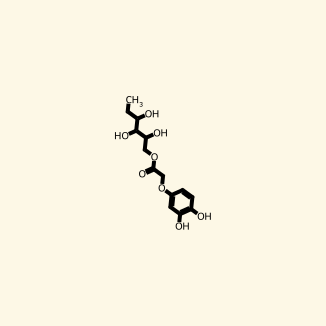 CCC(O)C(O)C(O)COC(=O)COc1ccc(O)c(O)c1